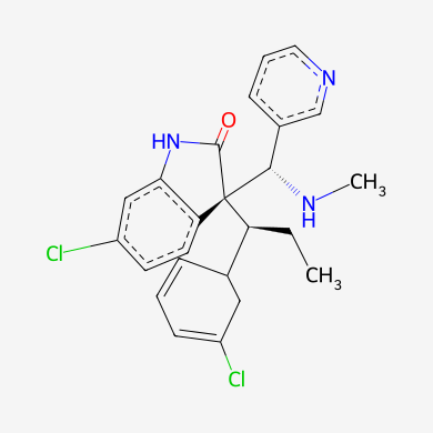 CC[C@@H](C1C=CC=C(Cl)C1)[C@@]1([C@@H](NC)c2cccnc2)C(=O)Nc2cc(Cl)ccc21